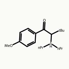 CCC[SH](CCC)C(C(=O)c1ccc(OC)cc1)C(C)(C)C